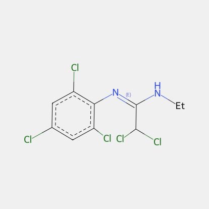 CCN/C(=N/c1c(Cl)cc(Cl)cc1Cl)C(Cl)Cl